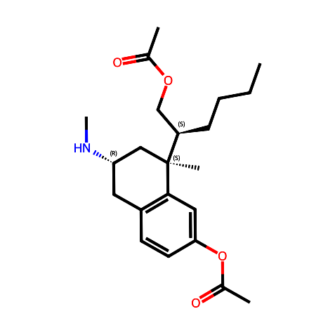 CCCC[C@H](COC(C)=O)[C@]1(C)C[C@@H](NC)Cc2ccc(OC(C)=O)cc21